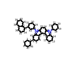 c1ccc(-c2ccc3c4c5c6ccccc6n(-c6ccccc6)c5ccc4n(-c4cccc(-c5cccc6ccccc56)c4)c3c2)cc1